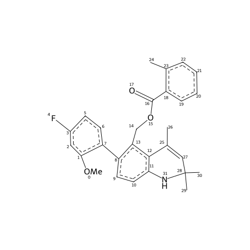 COc1cc(F)ccc1-c1ccc2c(c1COC(=O)c1ccccc1C)C(C)=CC(C)(C)N2